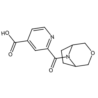 O=C(O)c1ccnc(C(=O)N2C3CCC2COC3)c1